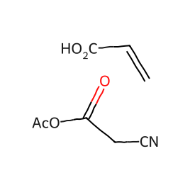 C=CC(=O)O.CC(=O)OC(=O)CC#N